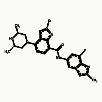 CCn1cc2c(N3C[C@H](C)N[C@@H](C)C3)ccc(C(=O)Nc3cc(F)c4nc(C)cn4c3)c2n1